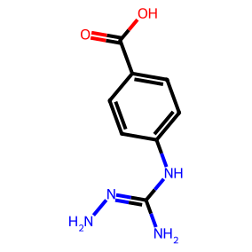 NN=C(N)Nc1ccc(C(=O)O)cc1